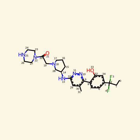 CCC(F)(F)c1ccc(-c2nnc(N[C@@H]3CCCN(CC(=O)N4CCNCC4)C3)cc2C)c(O)c1